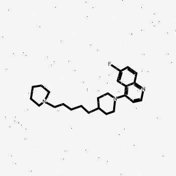 Fc1ccc2nccc(N3CCC(CCCCCN4CCCCC4)CC3)c2c1